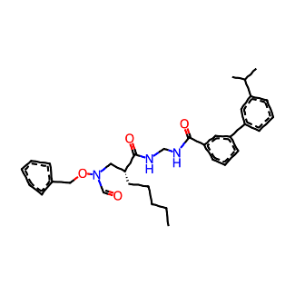 CCCCC[C@H](CN(C=O)OCc1ccccc1)C(=O)NCNC(=O)c1cccc(-c2cccc(C(C)C)c2)c1